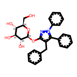 OC[C@H]1O[C@@H](Oc2nn(-c3ccccc3)c(-c3ccccc3)c2Cc2ccccc2)[C@H](O)[C@@H](O)[C@@H]1O